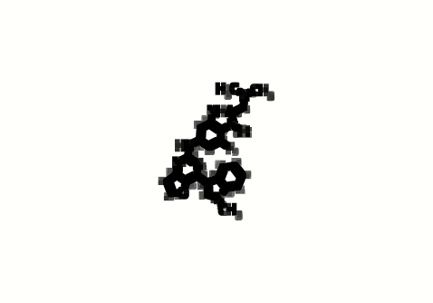 CCN(CCN(C)C)c1c(F)cc(Nc2nc(-c3cn(C)c4ccccc34)c3occc3n2)cc1NC(C)=O